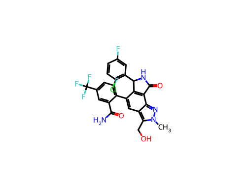 Cn1nc2c3c(c(-c4c(F)cc(C(F)(F)F)cc4C(N)=O)cc2c1CO)C(c1cc(F)ccc1Cl)NC3=O